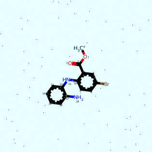 COC(=O)c1cc(Br)ccc1Nc1ccccc1N